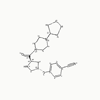 N#Cc1ccc(O[C@@H]2CN[C@@H](C(=O)N3CCN(C4CCCC4)CC3)C2)cc1